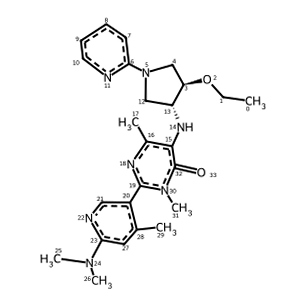 CCO[C@@H]1CN(c2ccccn2)C[C@H]1Nc1c(C)nc(-c2cnc(N(C)C)cc2C)n(C)c1=O